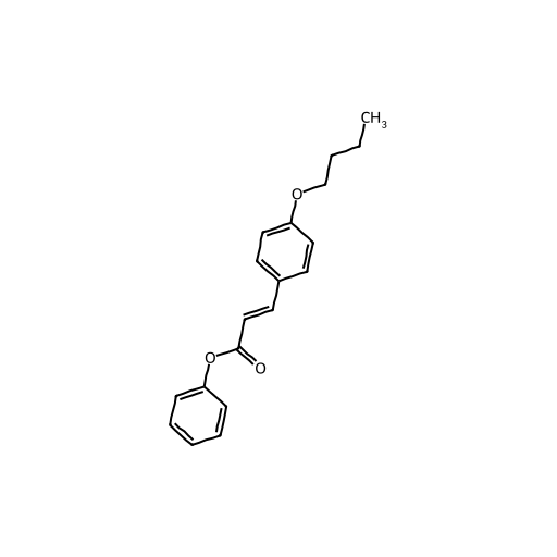 CCCCOc1ccc(C=CC(=O)Oc2ccccc2)cc1